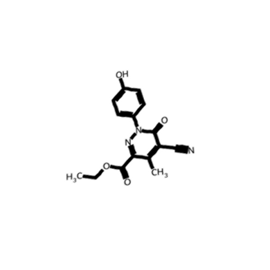 CCOC(=O)c1nn(-c2ccc(O)cc2)c(=O)c(C#N)c1C